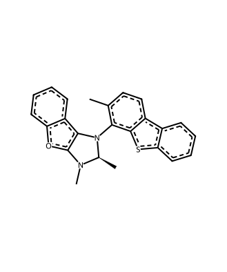 Cc1ccc2c(sc3ccccc32)c1N1c2c(oc3ccccc23)N(C)[C@@H]1C